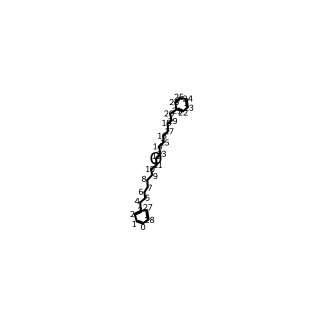 c1ccc(CCCCCCCCOCCCCCCCCc2ccccc2)cc1